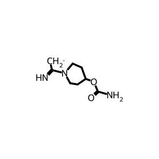 [CH2]C(=N)N1CCC(OC(N)=O)CC1